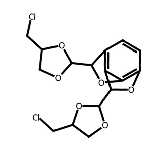 ClCC1COC(C2Oc3c4ccc2c3C(C2OCC(CCl)O2)O4)O1